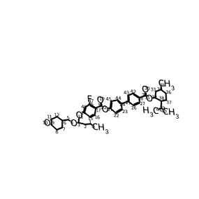 CCCC(OCC1CCC2OC2C1)Oc1ccc(C(=O)Oc2ccc(-c3ccc(C(=O)OC4CC(C)CCC4C(C)C)cc3)cc2)c(F)c1